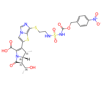 C[C@@H](O)[C@H]1C(=O)N2C(C(=O)O)=C(c3cn4cnc(SCCNS(=O)(=O)NC(=O)OCc5ccc([N+](=O)[O-])cc5)c4s3)[C@H](C)[C@H]12